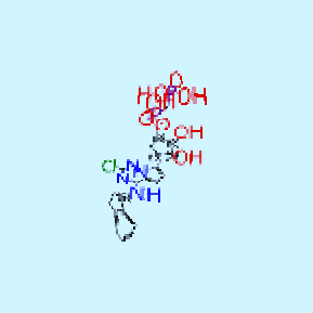 O=P(O)(O)CP(=O)(O)OC[C@H]1C[C@@H](c2ccc3c(N[C@H]4CCc5ccccc54)nc(Cl)nn23)[C@H](O)[C@@H]1O